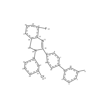 Cc1cccc(-c2ccc(C3=Nc4c(F)cccc4[C]N3c3cccc(C(F)(F)F)c3)cc2)c1